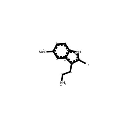 COc1ccc2[nH]c(I)c(CCN)c2c1